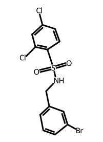 O=S(=O)(NCc1cccc(Br)c1)c1ccc(Cl)cc1Cl